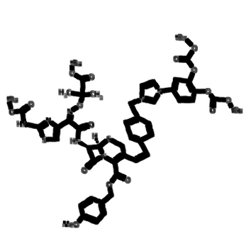 COc1ccc(COC(=O)C2=C(/C=C\c3ccc(C[n+]4ccn(-c5ccc(OC(=O)OC(C)(C)C)c(OC(=O)OC(C)(C)C)c5)c4)cc3)CS[C@@H]3[C@H](NC(=O)/C(=N\OC(C)(C)C(=O)OC(C)(C)C)c4csc(NC(=O)OC(C)(C)C)n4)C(=O)N23)cc1